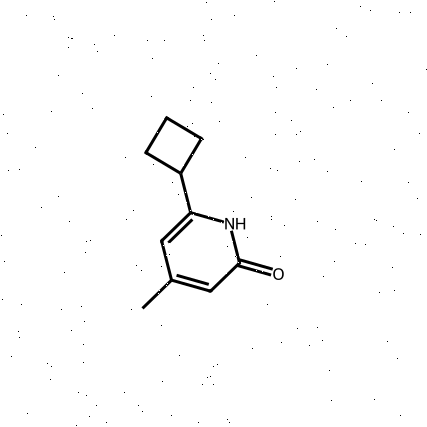 Cc1cc(C2CCC2)[nH]c(=O)c1